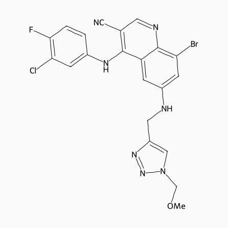 COCn1cc(CNc2cc(Br)c3ncc(C#N)c(Nc4ccc(F)c(Cl)c4)c3c2)nn1